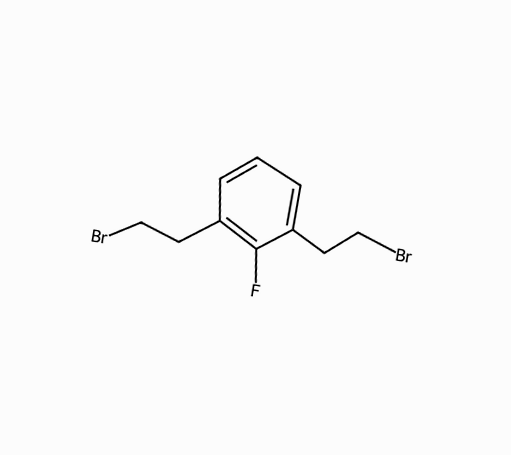 Fc1c(CCBr)cccc1CCBr